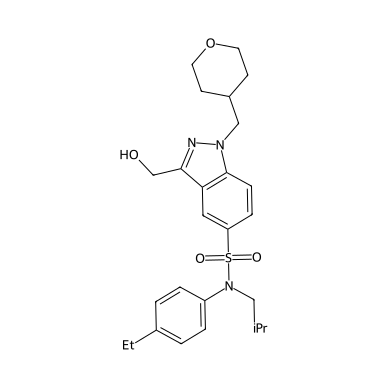 CCc1ccc(N(CC(C)C)S(=O)(=O)c2ccc3c(c2)c(CO)nn3CC2CCOCC2)cc1